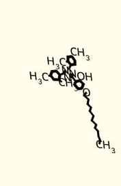 CCCCCCCCCCCCCOc1ccc(-c2nc(-c3ccc(C)cc3C)nc(-c3ccc(C)cc3C)n2)c(O)c1